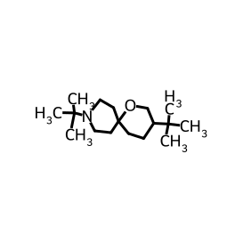 CC(C)(C)C1CCC2(CCN(C(C)(C)C)CC2)OC1